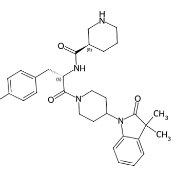 CC1(C)C(=O)N(C2CCN(C(=O)[C@H](Cc3ccc(Cl)cc3)NC(=O)[C@@H]3CCCNC3)CC2)c2ccccc21